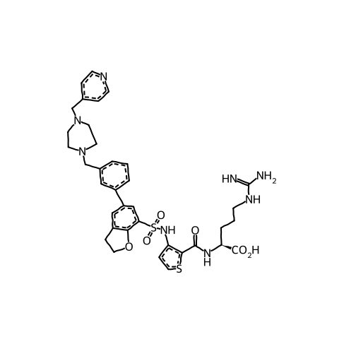 N=C(N)NCCC[C@H](NC(=O)c1sccc1NS(=O)(=O)c1cc(-c2cccc(CN3CCN(Cc4ccncc4)CC3)c2)cc2c1OCC2)C(=O)O